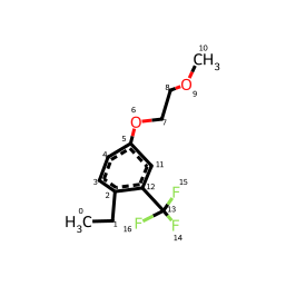 CCc1ccc(OCCOC)cc1C(F)(F)F